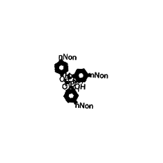 CCCCCCCCCc1ccc(O[PH](Oc2ccc(CCCCCCCCC)cc2)(Oc2ccc(CCCCCCCCC)cc2)[PH](O)(O)O)cc1